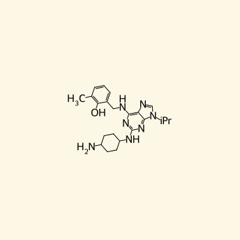 Cc1cccc(CNc2nc(NC3CCC(N)CC3)nc3c2ncn3C(C)C)c1O